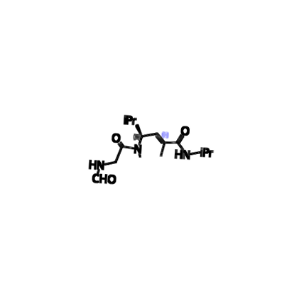 C/C(=C\[C@H](C(C)C)N(C)C(=O)CNC=O)C(=O)NC(C)C